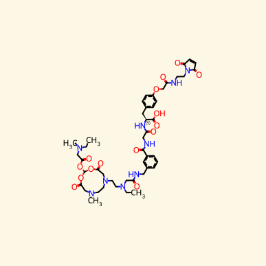 CCN(C)CC(=O)OC1OC(=O)CN(C)CCN(CCN(CC)CC(=O)NCc2cccc(C(=O)NCC(=O)N[C@@H](Cc3ccc(OCC(=O)NCCN4C(=O)C=CC4=O)cc3)C(=O)O)c2)CC(=O)O1